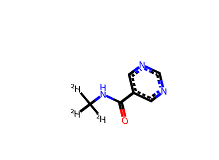 [2H]C([2H])([2H])NC(=O)c1cncnc1